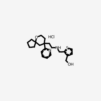 Cl.OCc1ccsc1CNCCC1(c2ccccn2)CCOC2(CCCC2)C1